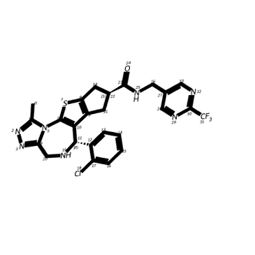 Cc1nnc2n1-c1sc3c(c1[C@H](c1ccccc1Cl)NC2)C[C@H](C(=O)NCc1cnc(C(F)(F)F)nc1)C3